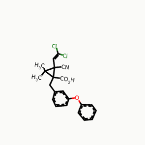 CC1(C)C(C#N)(C=C(Cl)Cl)C1(Cc1cccc(Oc2ccccc2)c1)C(=O)O